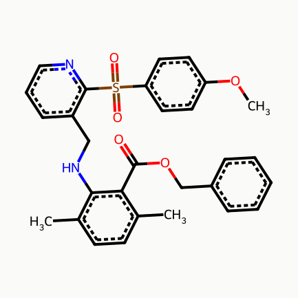 COc1ccc(S(=O)(=O)c2ncccc2CNc2c(C)ccc(C)c2C(=O)OCc2ccccc2)cc1